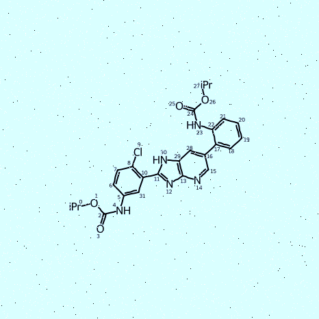 CC(C)OC(=O)Nc1ccc(Cl)c(-c2nc3ncc(-c4ccccc4NC(=O)OC(C)C)cc3[nH]2)c1